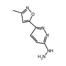 Cc1cc(-c2ccc(NN)nn2)on1